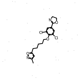 Cc1cc(CCCCCOc2c(Cl)cc(C3=NCCO3)cc2Cl)on1